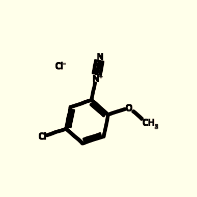 COc1ccc(Cl)cc1[N+]#N.[Cl-]